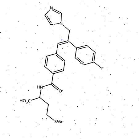 CSCCC(NC(=O)c1ccc(/C=C(/Cn2ccnc2)c2ccc(F)cc2)cc1)C(=O)O